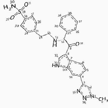 Cn1cc(-c2ccc3c(C(=O)[C@H](NCCc4ccc(S(N)(=O)=O)cc4)c4ccccc4)c[nH]c3c2)nn1